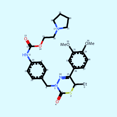 CCC1SC(=O)N(Cc2ccc(NC(=O)OCCN3CCCC3)cc2)N=C1c1ccc(OC)c(OC)c1